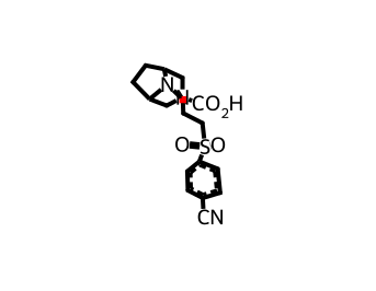 N#Cc1ccc(S(=O)(=O)CCCN2C3CCC2CN(C(=O)O)C3)cc1